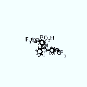 CC1(C)CCCC(n2c(Cc3ccc(OC(F)(F)F)cc3)nc3cc(C(=O)O)c(OCC(F)(F)F)cc32)C1